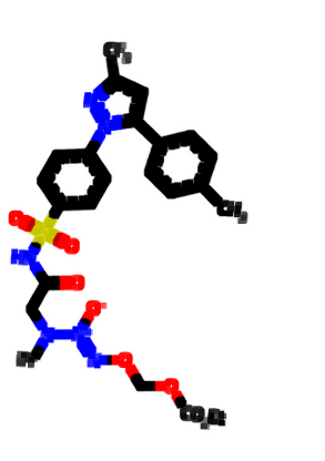 CCOC(=O)OCO/N=[N+](\[O-])N(CC(=O)NS(=O)(=O)c1ccc(-n2nc(C(F)(F)F)cc2-c2ccc(C)cc2)cc1)C(C)C